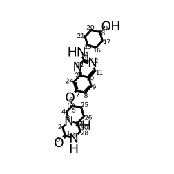 O=C1CN2C[C@@H](Oc3ccc4cnc(N[C@H]5CC[C@H](O)CC5)nc4c3)CC[C@H]2CN1